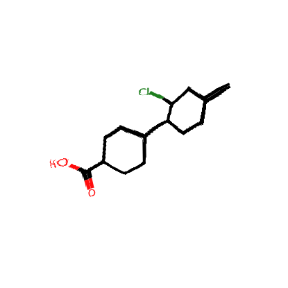 C=C1CCC(C2CCC(C(=O)O)CC2)C(Cl)C1